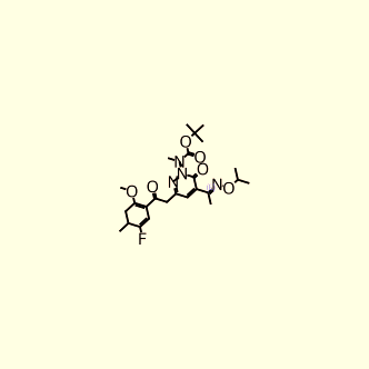 COC1=C(C(=O)Cc2cc(/C(C)=N/OC(C)C)c(=O)n(N(C)C(=O)OC(C)(C)C)n2)C=C(F)C(C)C1